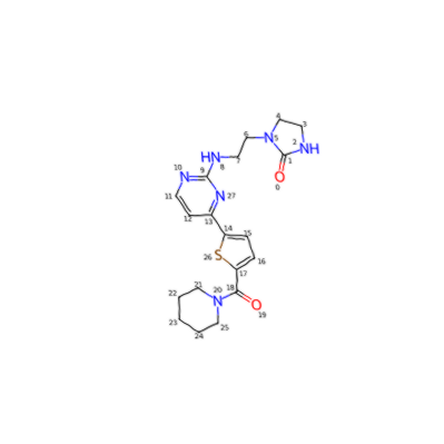 O=C1NCCN1CCNc1nccc(-c2ccc(C(=O)N3CCCCC3)s2)n1